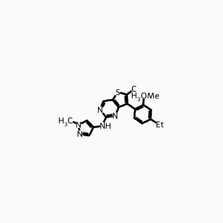 CCc1ccc(-c2c(C)sc3cnc(Nc4cnn(C)c4)nc23)c(OC)c1